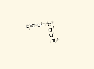 [Cl-].[Cl-].[Cl-].[Cl-].[Cl-].[Cl-].[Er+3].[Tb+3]